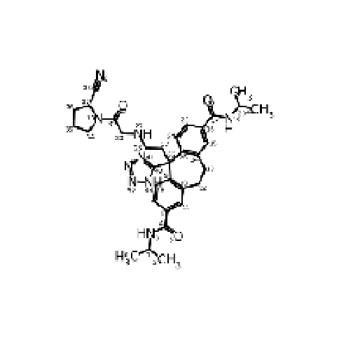 CC(C)NC(=O)c1ccc2c(c1)CCc1cc(C(=O)NC(C)C)ccc1C2(CCNCC(=O)N1CCC[C@H]1C#N)c1nnn[nH]1